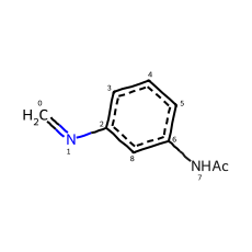 C=Nc1cccc(NC(C)=O)c1